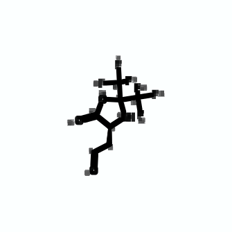 O=CC[C@@H]1NC(C(F)(F)F)(C(F)(F)F)OC1=O